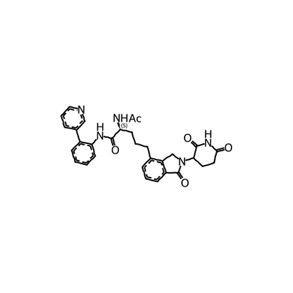 CC(=O)N[C@@H](CCCc1cccc2c1CN(C1CCC(=O)NC1=O)C2=O)C(=O)Nc1ccccc1-c1cccnc1